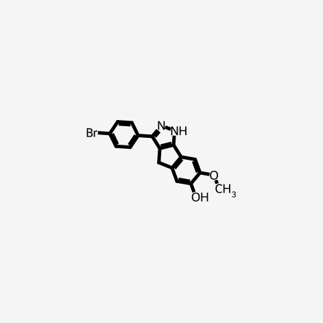 COc1cc2c(cc1O)Cc1c(-c3ccc(Br)cc3)n[nH]c1-2